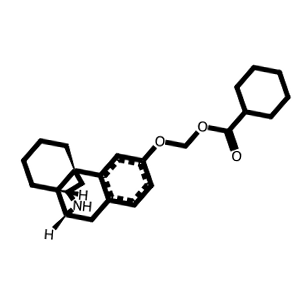 O=C(OCOc1ccc2c(c1)[C@@]13CCCC[C@H]1[C@@H](C2)NCC3)C1CCCCC1